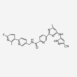 Cc1cc(Nc2cc(C#N)n[nH]2)nc(-c2ccc(C(=O)NCc3ccc(-c4ccc(F)nc4C)nc3)nc2)n1